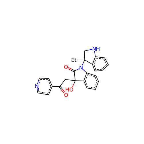 CCC1(N2C(=O)C(O)(CC(=O)c3ccncc3)c3ccccc32)CNc2ccccc21